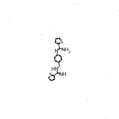 N=C(NCc1ccc(N=C(N)c2cccs2)cc1)c1cccs1